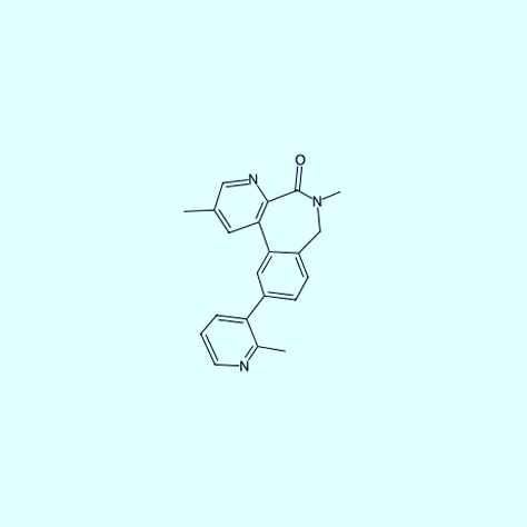 Cc1cnc2c(c1)-c1cc(-c3cccnc3C)ccc1CN(C)C2=O